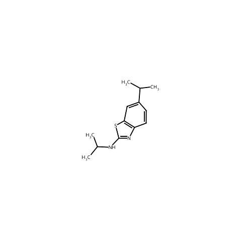 CC(C)Nc1nc2ccc(C(C)C)cc2s1